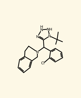 CC(C)(C)N1NNN=C1C(c1ccccc1Cl)N1CCc2ccccc2C1